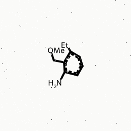 CCc1cccc(N)c1COC